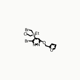 CC[Si](CCl)(CBr)c1cc(OCc2ccco2)nnc1Br